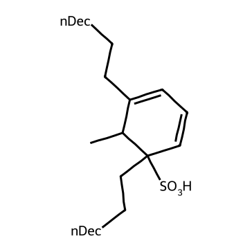 CCCCCCCCCCCCC1=CC=CC(CCCCCCCCCCCC)(S(=O)(=O)O)C1C